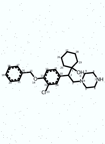 OC1(C(CN2CCNCC2)c2ccc(OCc3ccccc3)c(Cl)c2)CCCCC1